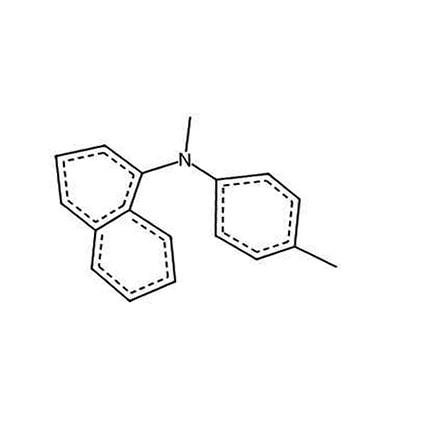 Cc1ccc(N(C)c2cccc3ccccc23)cc1